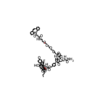 CCCC1O[C@@H]2C[C@H]3[C@@H]4C[C@H](F)C5=CC(=O)C=C[C@]5(C)[C@@]4(F)[C@@H](O)C[C@]3(C)[C@]2(C(=O)CNC(=O)OCc2ccc(NC(=O)C(CCCNC(N)=O)NC(=O)[C@@H](NC(=O)CCOCCOCCOCCOCCNC(=O)CCC(=O)N3Cc4ccccc4C#Cc4ccccc43)C(C)C)cc2)O1